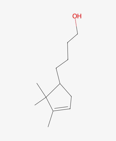 CC1=CCC(CCCCO)C1(C)C